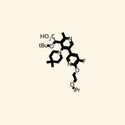 Cc1ncc(-c2cnc(OCCOC(C)C)c(F)c2)c(N2CCC(C)(C)CC2)c1[C@H](OC(C)(C)C)C(=O)O